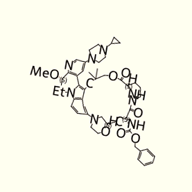 CCn1c(-c2cc(N3CCN(C4CC4)CC3)cnc2[C@H](C)OC)c2c3cc(ccc31)N1CCO[C@@H](C[C@H](NC(=O)OCc3ccccc3)C(=O)N3CCC[C@H](N3)C(=O)OCC(C)(C)C2)C1